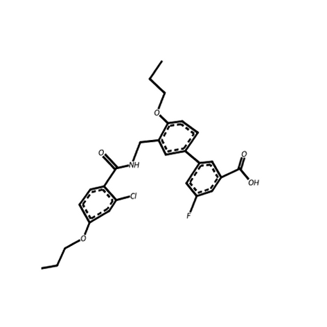 CCCOc1ccc(C(=O)NCc2cc(-c3cc(F)cc(C(=O)O)c3)ccc2OCCC)c(Cl)c1